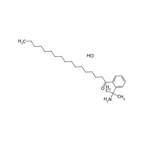 CCCCCCCCCCCCCCCCC(=O)c1ccccc1C(C)(C)N.Cl